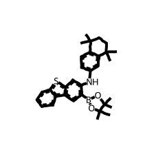 CC1(C)CCC(C)(C)c2cc(Nc3cc4sc5ccccc5c4cc3B3OC(C)(C)C(C)(C)O3)ccc21